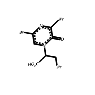 CC(C)CC(C(=O)O)n1cc(Br)nc(C(C)C)c1=O